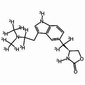 [2H]N1C(=O)OC[C@@H]1C([2H])([2H])c1ccc2c(c1)c(CC([2H])([2H])N(C([2H])([2H])[2H])C([2H])([2H])[2H])cn2[2H]